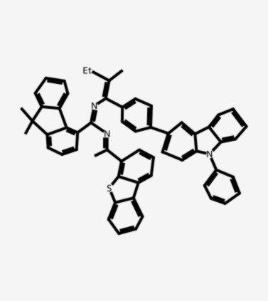 CC\C(C)=C(/N=C(\N=C(/C)c1cccc2c1sc1ccccc12)c1cccc2c1-c1ccccc1C2(C)C)c1ccc(-c2ccc3c(c2)c2ccccc2n3-c2ccccc2)cc1